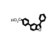 O=C(O)c1ccc(-c2ccc3occ(-c4ccccc4)c3c2)cc1